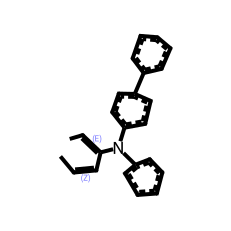 C/C=C\C(=C/C)N(c1ccccc1)c1ccc(-c2ccccc2)cc1